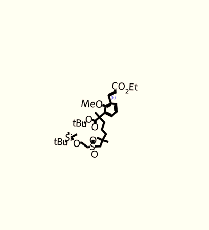 CCOC(=O)/C=C/c1cccc(C(C)(CCCC(C)(C)CS(=O)(=O)CCO[Si](C)(C)C(C)(C)C)C(=O)OC(C)(C)C)c1OC